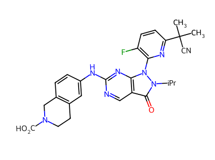 CC(C)n1c(=O)c2cnc(Nc3ccc4c(c3)CCN(C(=O)O)C4)nc2n1-c1nc(C(C)(C)C#N)ccc1F